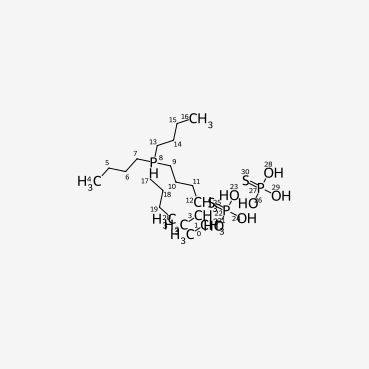 CC.CC.CCCC[PH](CCCC)(CCCC)CCCC.OP(O)(O)=S.OP(O)(O)=S